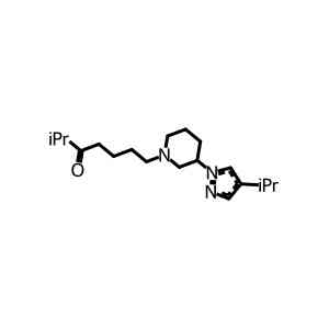 CC(C)C(=O)CCCCN1CCCC(n2cc(C(C)C)cn2)C1